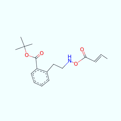 C/C=C/C(=O)ONCCc1ccccc1C(=O)OC(C)(C)C